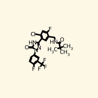 CC(C)(C)C(=O)NCc1cc(-c2nn(-c3ccc(F)c(C(F)(F)F)c3)c(=O)[nH]2)c(Cl)cc1F